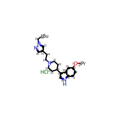 CC(C)Oc1ccc2[nH]cc(C3CCN(CCc4cnn(CC(C)(C)C)c4)CC3)c2c1.Cl